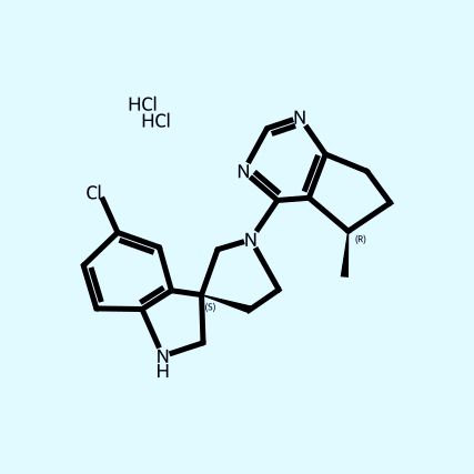 C[C@@H]1CCc2ncnc(N3CC[C@]4(CNc5ccc(Cl)cc54)C3)c21.Cl.Cl